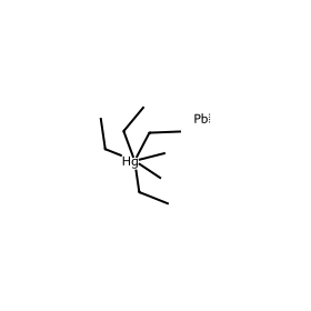 C[CH2][Hg]([CH3])([CH3])([CH2]C)([CH2]C)[CH2]C.[Pb]